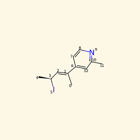 C/C(=C\[C@H](C)I)c1ccnc(C)c1